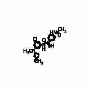 CC(=O)Nc1ccc(N(S)C(=O)Nc2cc(Cl)cc(N(C)C3CCN(C)C3)c2)cc1